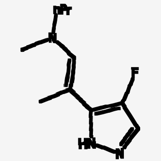 CCCN(C)/C=C(\C)c1[nH]ncc1F